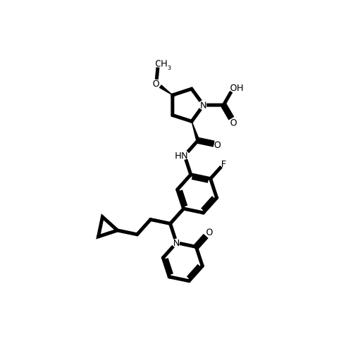 CO[C@@H]1C[C@H](C(=O)Nc2cc(C(CCC3CC3)n3ccccc3=O)ccc2F)N(C(=O)O)C1